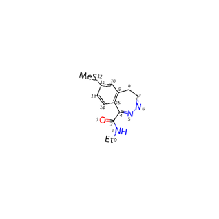 CCNC(=O)C1=NN=CCc2cc(SC)ccc21